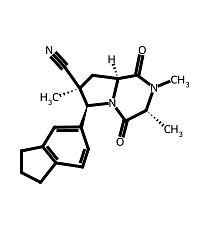 C[C@@H]1C(=O)N2[C@@H](c3ccc4c(c3)CCC4)[C@@](C)(C#N)C[C@H]2C(=O)N1C